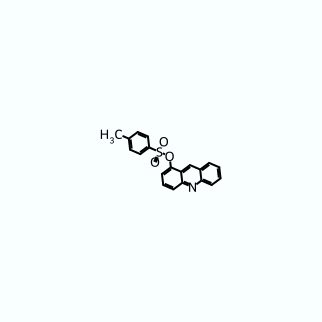 Cc1ccc(S(=O)(=O)Oc2cccc3nc4ccccc4cc23)cc1